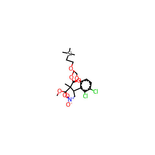 COC(=O)C(C)(C(=O)OC)C(C[N+](=O)[O-])c1c(OCOCC[Si](C)(C)C)ccc(Cl)c1Cl